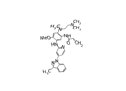 C=CC(=O)Nc1cc(Nc2cc(-n3nc(C)c4ccccc43)ccn2)c(OC)cc1N(C)CCN(C)C